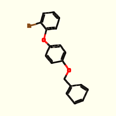 Brc1ccccc1Oc1ccc(OCc2ccccc2)cc1